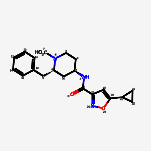 O=C(N[C@@H]1CCN(C(=O)O)[C@@H](Cc2ccccc2)C1)c1cc(C2CC2)on1